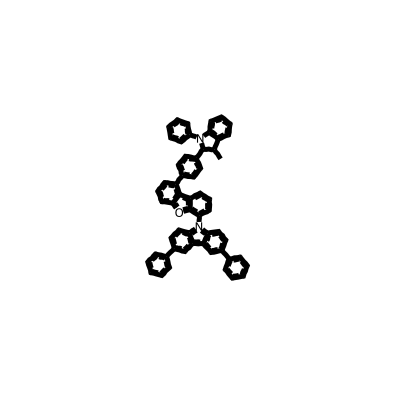 CC1c2ccccc2N(c2ccccc2)C1c1ccc(-c2cccc3oc4c(-n5c6ccc(-c7ccccc7)cc6c6cc(-c7ccccc7)ccc65)cccc4c23)cc1